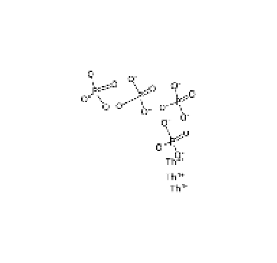 O=P([O-])([O-])[O-].O=P([O-])([O-])[O-].O=P([O-])([O-])[O-].O=P([O-])([O-])[O-].[Th+4].[Th+4].[Th+4]